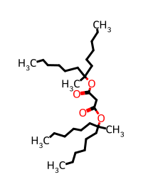 CCCCCCC(C)(CCCCCC)OC(=O)CC(=O)OC(C)(CCCCCC)CCCCCC